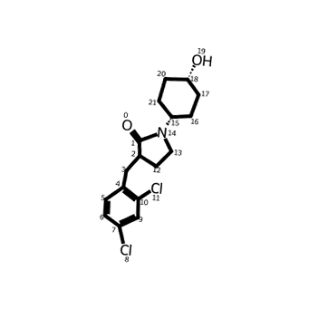 O=C1C(Cc2ccc(Cl)cc2Cl)CCN1[C@H]1CC[C@@H](O)CC1